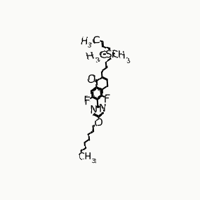 CCCCCCCCOc1cnc(-c2c(F)cc3c(c2F)CCC(CCCC[Si](C)(C)CCCC)C3=O)nc1